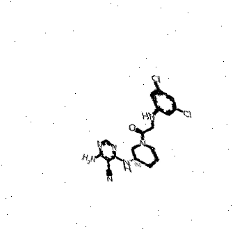 N#Cc1c(N)ncnc1N[C@H]1CCCN(C(=O)CNc2cc(Cl)cc(Cl)c2)C1